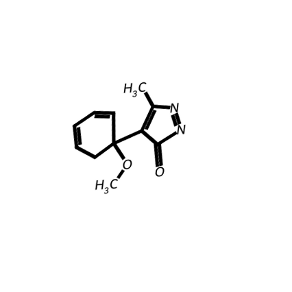 COC1(C2=C(C)N=NC2=O)C=CC=CC1